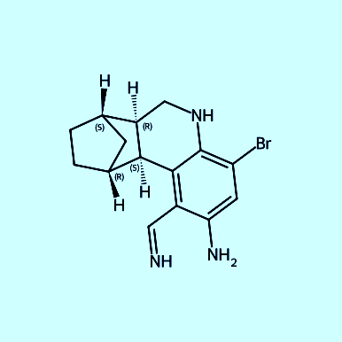 N=Cc1c(N)cc(Br)c2c1[C@H]1[C@@H]3CC[C@@H](C3)[C@H]1CN2